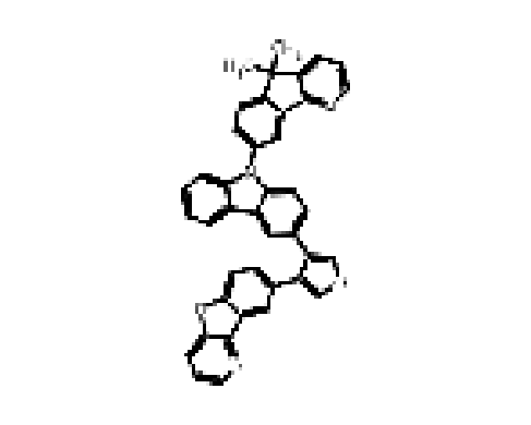 CC1(C)c2ccc(-n3c4ccccc4c4cc(-c5cocc5-c5ccc6oc7cccnc7c6c5)ccc43)cc2-c2ncccc21